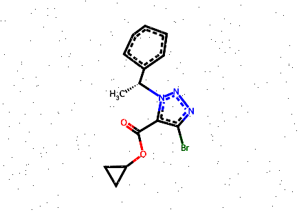 C[C@H](c1ccccc1)n1nnc(Br)c1C(=O)OC1CC1